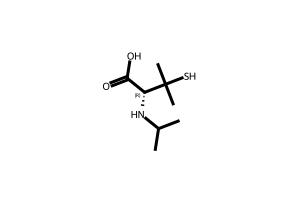 CC(C)N[C@H](C(=O)O)C(C)(C)S